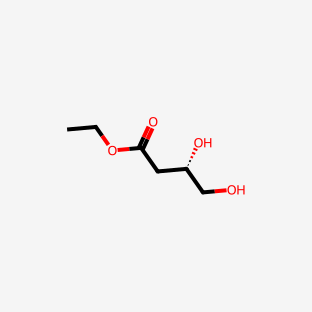 CCOC(=O)C[C@H](O)CO